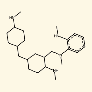 CNc1ccccc1N(C)CC1CC(CC2CCC(NC)CC2)CCC1NC